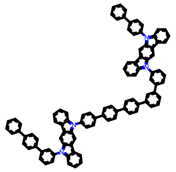 c1ccc(-c2ccc(-c3cccc(-n4c5ccccc5c5cc6c(cc54)c4ccccc4n6-c4ccc(-c5ccc(-c6ccc(-c7cccc(-c8cccc(-n9c%10ccccc%10c%10cc%11c(cc%109)c9ccccc9n%11-c9ccc(-c%10ccccc%10)cc9)c8)c7)cc6)cc5)cc4)c3)cc2)cc1